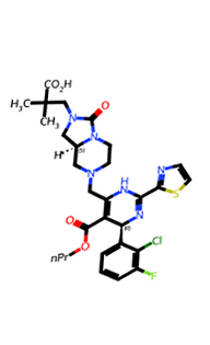 CCCOC(=O)C1=C(CN2CCN3C(=O)N(CC(C)(C)C(=O)O)C[C@@H]3C2)NC(c2nccs2)=N[C@H]1c1cccc(F)c1Cl